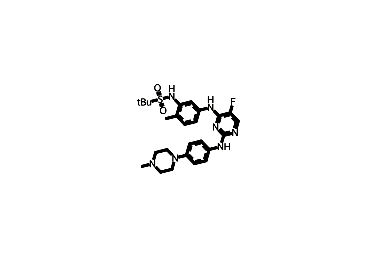 Cc1ccc(Nc2nc(Nc3ccc(N4CCN(C)CC4)cc3)ncc2F)cc1NS(=O)(=O)C(C)(C)C